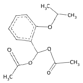 CC(=O)OC(OC(C)=O)c1ccccc1OC(C)C